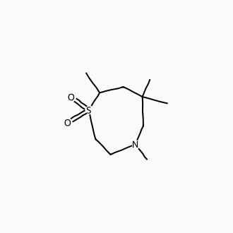 CC1CC(C)(C)CN(C)CCS1(=O)=O